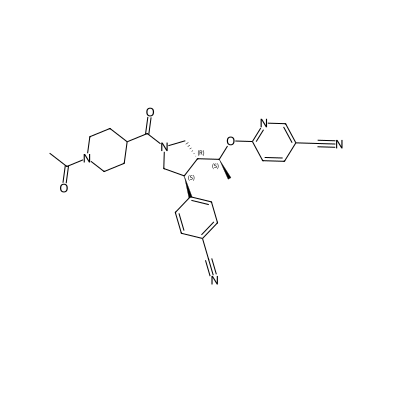 CC(=O)N1CCC(C(=O)N2C[C@H]([C@H](C)Oc3ccc(C#N)cn3)[C@@H](c3ccc(C#N)cc3)C2)CC1